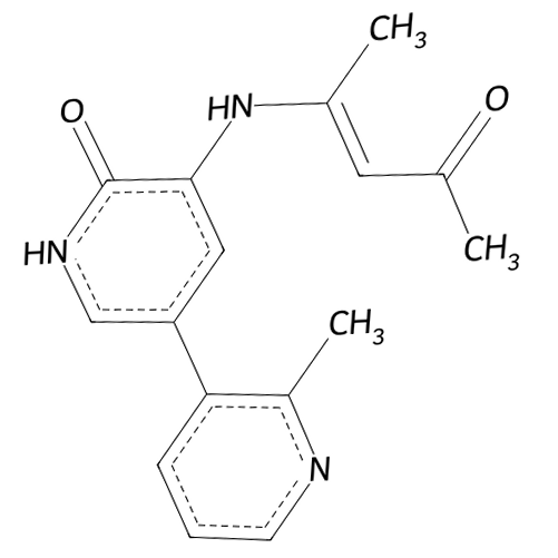 CC(=O)C=C(C)Nc1cc(-c2cccnc2C)c[nH]c1=O